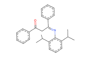 CC(C)c1cccc(C(C)C)c1N=C(CC(=O)c1ccccc1)c1ccccc1